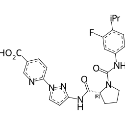 CC(C)c1ccc(NC(=O)N2CCC[C@@H]2C(=O)Nc2ccn(-c3ccc(C(=O)O)cn3)n2)cc1F